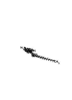 CCCCCCCCCCCCCCCCCOCCOP(=O)(O)OC[C@H]1O[C@@](C#N)(c2ccc3c(N)ncnn23)[C@H](O)[C@@H]1O